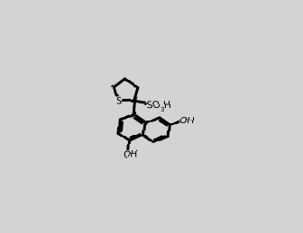 O=S(=O)(O)C1(c2ccc(O)c3ccc(O)cc23)CCCS1